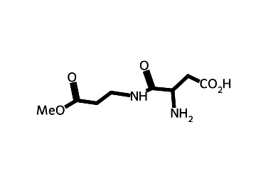 COC(=O)CCNC(=O)C(N)CC(=O)O